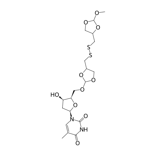 COC1OCC(CSSCC2COC(OC[C@H]3O[C@@H](n4cc(C)c(=O)[nH]c4=O)C[C@H]3O)O2)O1